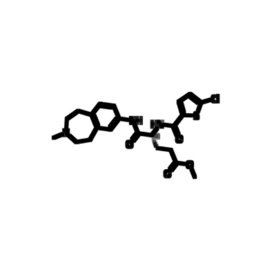 COC(=O)CC[C@@H](NC(=O)c1ccc(Cl)s1)C(=O)Nc1ccc2c(c1)CCN(C)CC2